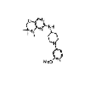 COc1cc(N2CCC(Nc3ncc4c(n3)N(C)C(C)(C)CO4)CC2)ccn1